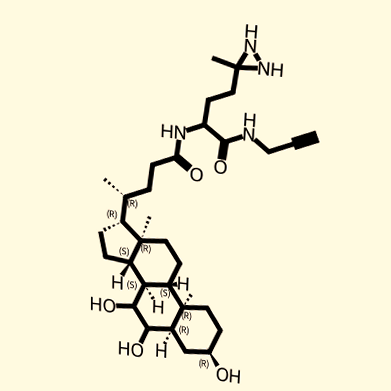 C#CCNC(=O)C(CCC1(C)NN1)NC(=O)CC[C@@H](C)[C@H]1CC[C@H]2[C@@H]3C(O)C(O)[C@@H]4C[C@H](O)CC[C@]4(C)[C@H]3CC[C@]12C